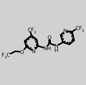 O=C(Nc1ccc(C(F)(F)F)nc1)Nc1cc(C(F)(F)F)cc(OCC(F)(F)F)n1